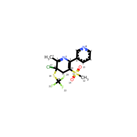 CC1=NC(c2cccnc2)=C(S(C)(=O)=O)CC1(Cl)SC(F)(F)F